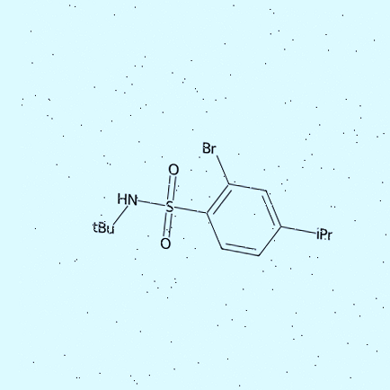 CC(C)c1ccc(S(=O)(=O)NC(C)(C)C)c(Br)c1